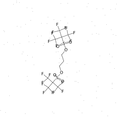 O=S(=O)(OCCCOS(=O)(=O)C(C(F)(F)F)(C(F)(F)F)C(F)(F)F)C(C(F)(F)F)(C(F)(F)F)C(F)(F)F